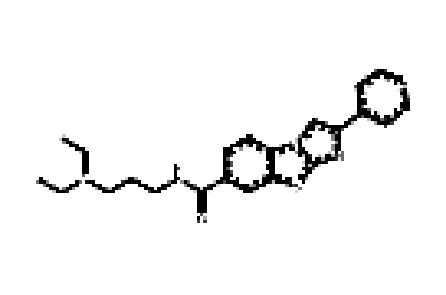 CCN(CC)CCCNC(=O)c1ccc2c(c1)sc1nc(-c3ccncc3)cn12